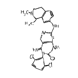 CC1c2cc(Nc3ncc4c(=N)n(-c5c(Cl)cccc5Cl)c(=O)[nH]c4n3)ccc2CCN1C